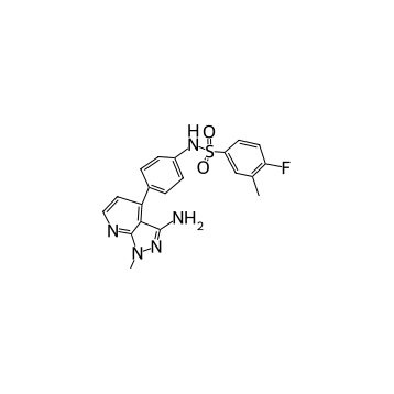 Cc1cc(S(=O)(=O)Nc2ccc(-c3ccnc4c3c(N)nn4C)cc2)ccc1F